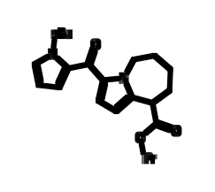 CCCCn1cccc1C(=O)c1ccc2n1CCCCC2C(=O)OC(C)C